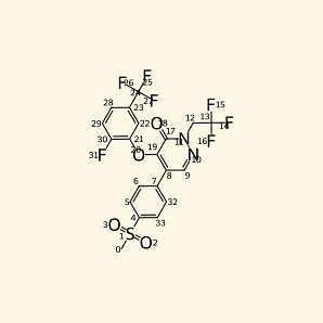 CS(=O)(=O)c1ccc(-c2cnn(CC(F)(F)F)c(=O)c2Oc2cc(C(F)(F)F)ccc2F)cc1